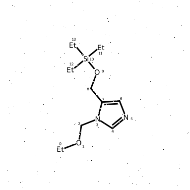 CCOCn1cncc1CO[Si](CC)(CC)CC